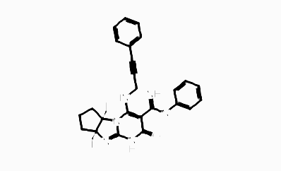 N=C(Nc1ccccc1)C1=C(NCC#Cc2ccccc2)N2C(=N[C@@H]3CCC[C@@H]32)NC1=O